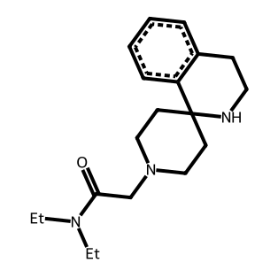 CCN(CC)C(=O)CN1CCC2(CC1)NCCc1ccccc12